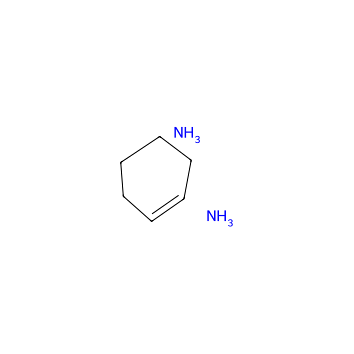 C1=CCCCC1.N.N